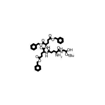 CC(C)(C)OC(O)CNC(=O)C(N)CCC(=O)NC(CCC(=O)OCc1ccccc1)C(=O)NC(CCC(=O)OCc1ccccc1)C(=O)OCc1ccccc1